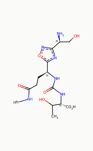 CCCNC(=O)CC[C@H](NC(=O)N[C@H](C(=O)O)C(C)O)c1nc([C@@H](N)CO)no1